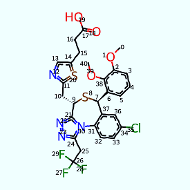 COc1cccc([C@@H]2S[C@@H](Cc3ncc(CCC(=O)O)s3)c3nnc(CC(F)(F)F)n3-c3ccc(Cl)cc32)c1OC